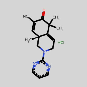 CC1(C)C(=O)C(C#N)=C[C@@]2(C)CN(c3ncccn3)CC=C12.Cl